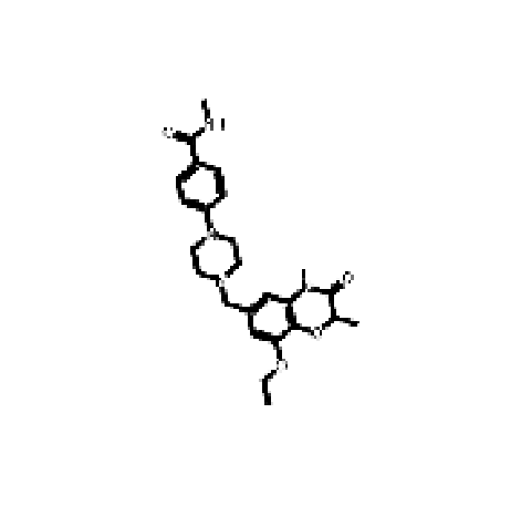 CCOc1cc(CN2CCN(c3ccc(C(=O)NC)cc3)CC2)cc2c1OC(C)C(=O)N2